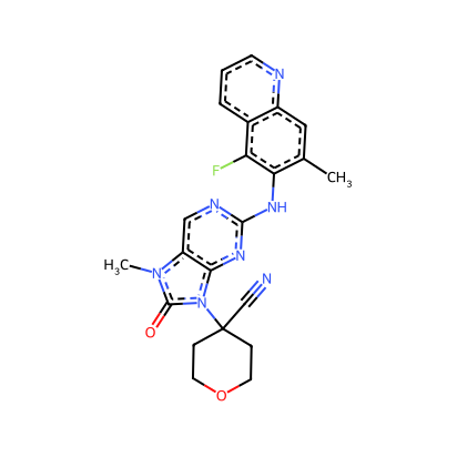 Cc1cc2ncccc2c(F)c1Nc1ncc2c(n1)n(C1(C#N)CCOCC1)c(=O)n2C